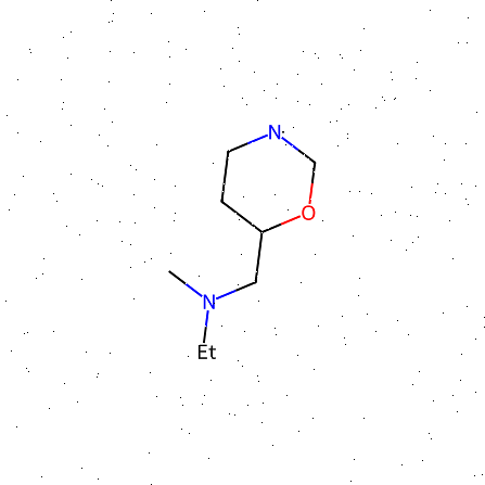 CCN(C)CC1CC[N]CO1